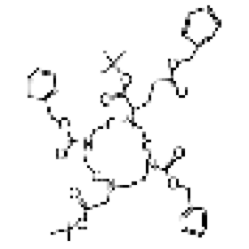 CC(C)(C)OC(=O)CN1CCN(C(=O)OCc2ccccc2)CCN(C(CCC(=O)OCc2ccccc2)C(=O)OC(C)(C)C)CCN(C(=O)OCc2ccccc2)CC1